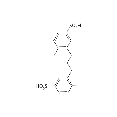 Cc1ccc(S(=O)(=O)O)cc1CCCc1cc(S(=O)(=O)O)ccc1C